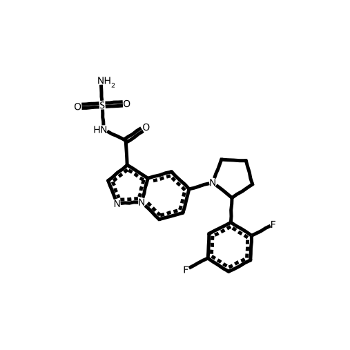 NS(=O)(=O)NC(=O)c1cnn2ccc(N3CCCC3c3cc(F)ccc3F)cc12